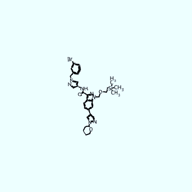 C[Si](C)(C)CCOCn1nc(C(=O)Nc2cnn(Cc3cccc(Br)c3)c2)c2ccc(-c3cnn(C4CCCCO4)c3)cc21